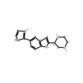 c1c[nH]c(-c2ccc3oc(C4COCCO4)cc3c2)n1